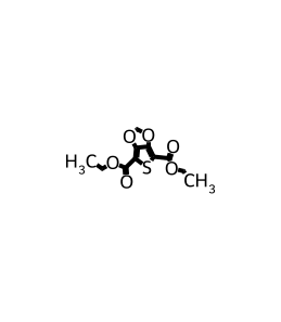 CCOC(=O)c1sc(C(=O)OCC)c2c1OCO2